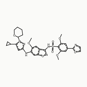 COc1cc2c(NS(=O)(=O)c3c(OC)cc(-c4ncco4)cc3OC)noc2cc1Nc1cc(C2CC2)n(C2CCCCO2)n1